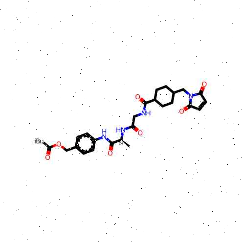 CCC(C)C(=O)OCc1ccc(NC(=O)[C@H](C)NC(=O)CNC(=O)C2CCC(CN3C(=O)C=CC3=O)CC2)cc1